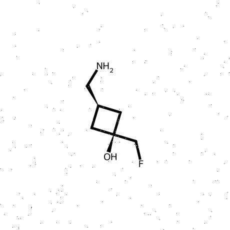 NC[C@H]1C[C@](O)(CF)C1